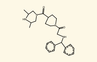 CC1CN(C(=O)C2CCN(C(=O)CNC(c3ccccc3)c3ccccc3)CC2)CC(C)N1